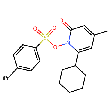 Cc1cc(C2CCCCC2)n(OS(=O)(=O)c2ccc(C(C)C)cc2)c(=O)c1